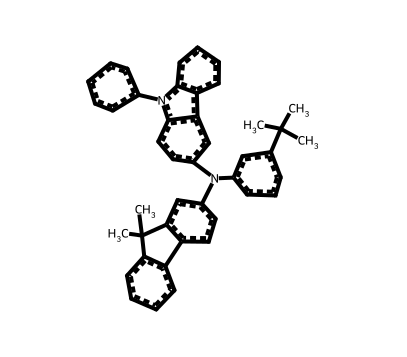 CC(C)(C)c1cccc(N(c2ccc3c(c2)C(C)(C)c2ccccc2-3)c2ccc3c(c2)c2ccccc2n3-c2ccccc2)c1